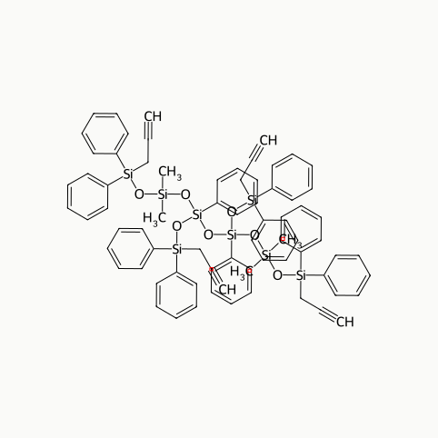 C#CC[Si](O[Si](C)(C)O[Si](O[Si](O[Si](C)(C)O[Si](CC#C)(c1ccccc1)c1ccccc1)(O[Si](CC#C)(c1ccccc1)c1ccccc1)c1ccccc1)(O[Si](CC#C)(c1ccccc1)c1ccccc1)c1ccccc1)(c1ccccc1)c1ccccc1